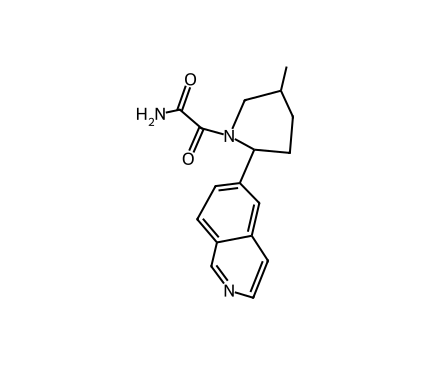 CC1CCC(c2ccc3cnccc3c2)N(C(=O)C(N)=O)C1